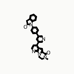 CN1CCn2c(cc3c(-c4cncc(-c5ccc(N6C(=O)Cc7ccccc76)cc5)c4)ccnc32)C1=O